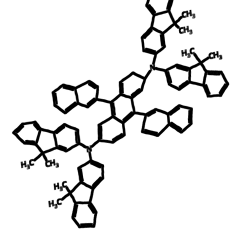 CC1(C)c2ccccc2-c2ccc(N(c3ccc4c(c3)C(C)(C)c3ccccc3-4)c3ccc4c(-c5ccc6ccccc6c5)c5c(c(-c6ccc7ccccc7c6)c4c3)=CCC(N(c3ccc4c(c3)C(C)(C)c3ccccc3-4)c3ccc4c(c3)C(C)(C)c3ccccc3-4)C=5)cc21